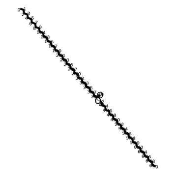 CCCCCCCCCCCCCCCCCCCCCCCCCCCCCCCCCCCCCCCC(=O)OCCCCCCCCCCCCCCCCCCCCCCCCCCCCC